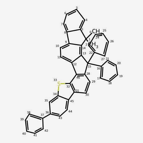 CC1(C)c2ccccc2-c2ccc3c(c21)C(c1ccccc1)(c1ccccc1)c1ccc2c(sc4cc(-c5ccccc5)ccc42)c1-3